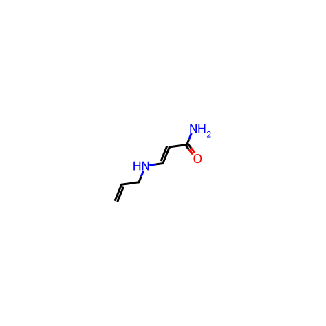 C=CCNC=CC(N)=O